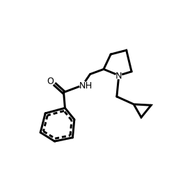 O=C(NCC1CCCN1CC1CC1)c1ccccc1